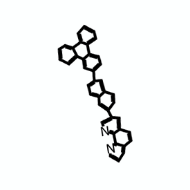 c1cnc2c(c1)ccc1cc(-c3ccc4cc(-c5ccc6c7ccccc7c7ccccc7c6c5)ccc4c3)cnc12